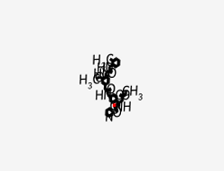 COC(=O)CC(NS(=O)(=O)c1cccnc1)c1ccc(NC(=O)Cc2ccc(NC(=O)Nc3ccccc3C)c(OC)c2)cc1